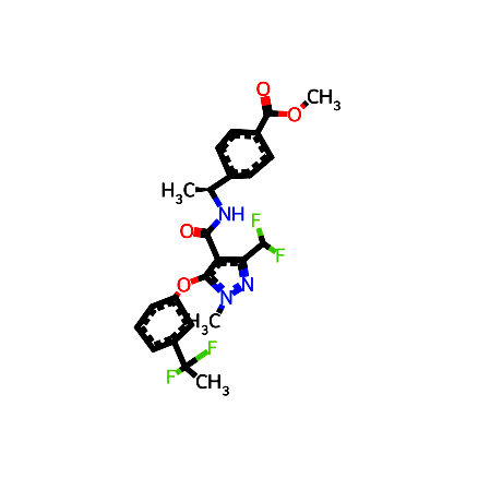 COC(=O)c1ccc([C@H](C)NC(=O)c2c(C(F)F)nn(C)c2Oc2cccc(C(C)(F)F)c2)cc1